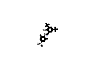 Cc1cc([N+](=O)[O-])cc(C)c1/N=C/c1cc(C(C)(C)C)cc(C(C)(C)C)c1O